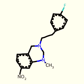 CN1CN(CCc2ccc(F)cc2)Cc2ccc([N+](=O)[O-])cc21